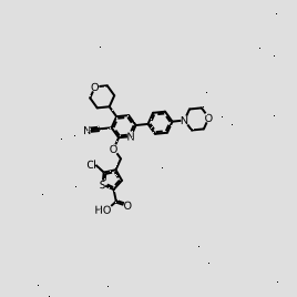 N#Cc1c(C2CCOCC2)cc(-c2ccc(N3CCOCC3)cc2)nc1OCc1cc(C(=O)O)sc1Cl